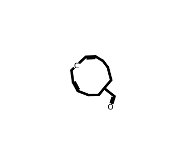 O=CC1CCC=CCCC=CCCC1